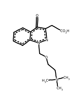 C[Si](C)(C)CCOCn1nc(CC(=O)O)c(=O)c2ccccc21